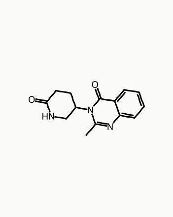 Cc1nc2ccccc2c(=O)n1C1CCC(=O)NC1